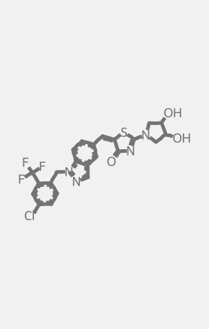 O=C1N=C(N2CC(O)C(O)C2)SC1=Cc1ccc2c(cnn2Cc2ccc(Cl)cc2C(F)(F)F)c1